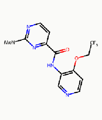 CNc1nccc(C(=O)Nc2cnccc2OCC(F)(F)F)n1